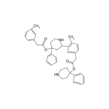 Cc1cccc(CC(=O)OC2(c3ccccc3)CCNC(c3cc(CC(=O)OC4(c5ccccc5)CCNCC4)ccc3C)C2)c1